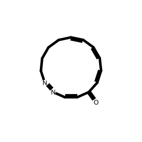 O=C1C=CC=CC=CCCCCN=NC=C1